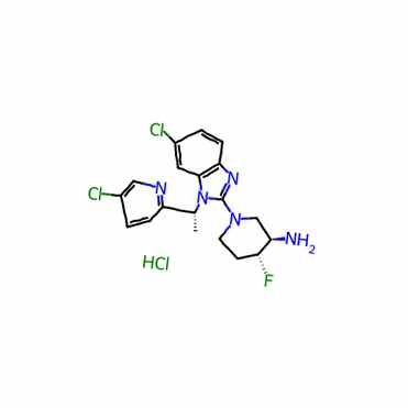 C[C@H](c1ccc(Cl)cn1)n1c(N2CC[C@@H](F)[C@H](N)C2)nc2ccc(Cl)cc21.Cl